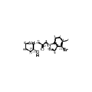 Cc1ccc2c(cnn2CC(=O)C[C@H]2NCCC[C@@H]2O)c1Br